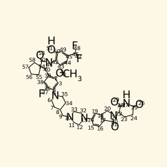 COc1cc(N2CCC(CN3CCN(c4ccc5c(c4)CN([C@H]4CCC(=O)NC4=O)C5=O)CC3)CC2)c(F)cc1[C@@H]1N(c2ccc(C(F)F)cc2O)C(=O)C12CCCC2